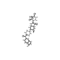 Cn1ccc2cc(C(=O)N3CCC(c4cc5c(cc4F)C(=O)N(C4CCC(=O)NC4=O)C5)CC3)ccc21